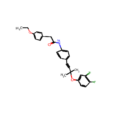 CCOc1ccc(CC(=O)Nc2ccc(C#CC(C)(C)Oc3ccc(F)c(F)c3)cc2)cc1